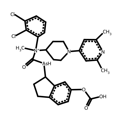 Cc1cc(N2CCC([N+](C)(C(=O)[AsH]C3CCc4ccc(OC(=O)O)cc43)c3cccc(Cl)c3Cl)CC2)cc(C)n1